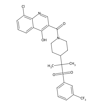 CC(C)(C1CCN(C(=O)c2cnc3c(Cl)cccc3c2O)CC1)S(=O)(=O)c1cccc(C(F)(F)F)c1